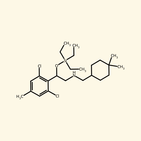 CC[Si](CC)(CC)OC(CNCC1CCC(C)(C)CC1)c1c(Cl)cc(C)cc1Cl